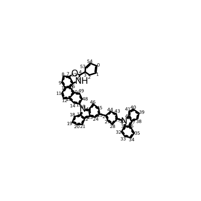 C1=CCC(C2Nc3c(ccc4ccc5cc(-n6c7ccccc7c7cc(-c8ccc(-n9c%10ccccc%10c%10ccccc%109)cc8)ccc76)ccc5c34)O2)C=C1